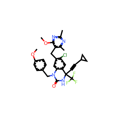 COc1ccc(CN2C(=O)NC(C#CC3CC3)(C(F)(F)F)c3cc(Cl)c(Cc4c(C)nc(C)nc4OC)cc32)cc1